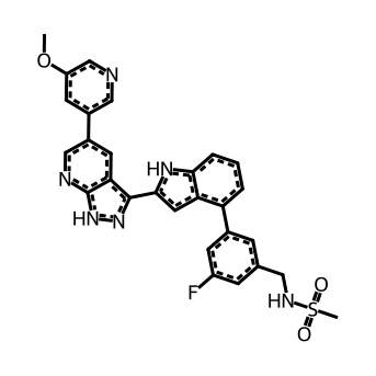 COc1cncc(-c2cnc3[nH]nc(-c4cc5c(-c6cc(F)cc(CNS(C)(=O)=O)c6)cccc5[nH]4)c3c2)c1